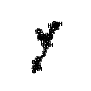 CC(C)(C)C(NC(=O)c1cc2cc(C(F)(F)P(=O)(O)O)ccc2s1)C(=O)N1C[C@H](NC(=O)CCCCCC#Cc2ccc3c(c2)CN(C2CCC(=O)NC2=O)C3=O)C[C@H]1C(=O)Nc1ncc(-c2ccccc2)s1